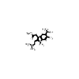 COC(=O)Cc1c(CCN(C)C)n(C)c2cc(C(F)(F)F)c(C(C)O)cc12